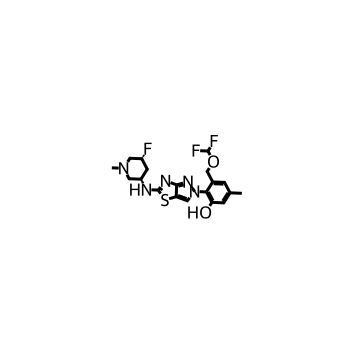 Cc1cc(O)c(-n2cc3sc(N[C@@H]4C[C@@H](F)CN(C)C4)nc3n2)c(COC(F)F)c1